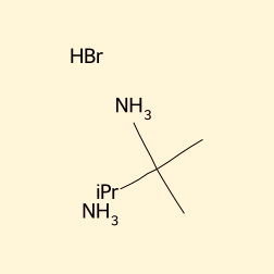 Br.CC(C)C(C)(C)C.N.N